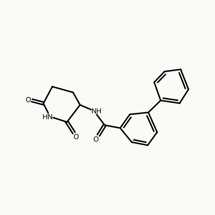 O=C1CCC(NC(=O)c2cccc(-c3ccccc3)c2)C(=O)N1